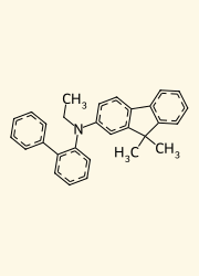 CCN(c1ccc2c(c1)C(C)(C)c1ccccc1-2)c1ccccc1-c1ccccc1